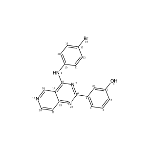 Oc1cccc(-c2nc(Nc3ccc(Br)cc3)c3cnccc3n2)c1